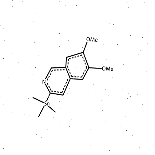 COc1cc2cn[c]([Sn]([CH3])([CH3])[CH3])cc2cc1OC